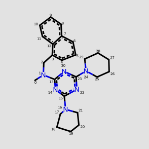 CN(Cc1cccc2ccccc12)c1nc(N2CCCCC2)nc(N2CCCCC2)n1